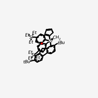 [CH2]=[Zr]([C]1=CC=CC1)([c]1ccc([Si](CC)(CC)CC)cc1)([c]1ccc([Si](CC)(CC)CC)cc1)[c]1c(C(C)(C)C)ccc2c1Cc1cc(C(C)(C)C)ccc1-2